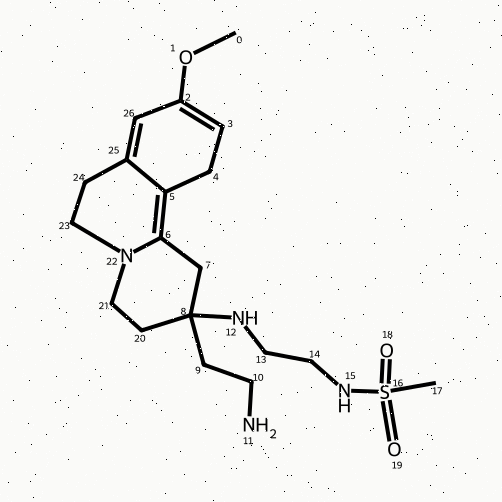 COC1=CCC2=C3CC(CCN)(NCCNS(C)(=O)=O)CCN3CCC2=C1